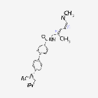 C=N/C=C\C=C(/C)CNC(=O)c1ccc(-c2ccc(N(CC(C)C)C(C)=O)cc2)cc1